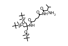 CC(C)[C@H](N)C(=O)NC(=O)CCCC(=O)NC(CO[Si](C)(C)C(C)(C)C)(CO[Si](C)(C)C(C)(C)C)CO[Si](C)(C)C(C)(C)C